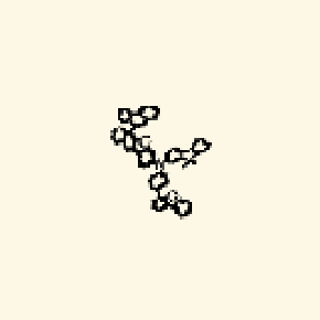 CC1(C)c2ccccc2-c2ccc(N(c3ccc(-c4cccc5c4oc4ccccc45)cc3)c3ccc4c(c3)oc3c(-c5cc6ccccc6c6ccccc56)c5ccccc5cc34)cc21